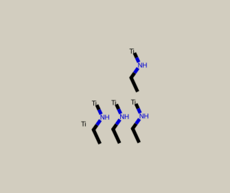 CC[NH][Ti].CC[NH][Ti].CC[NH][Ti].CC[NH][Ti].[Ti]